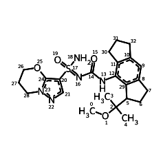 COC(C)(C)C1CCc2cc3c(c(NC(=O)N=S(N)(=O)c4cnn5c4OCCC5)c21)CCC3